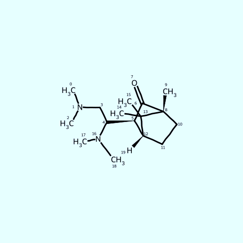 CN(C)CC([C@H]1C(=O)[C@]2(C)CC[C@H]1C2(C)C)N(C)C